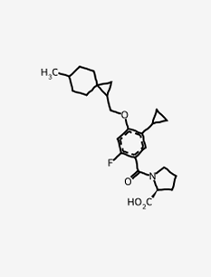 CC1CCC2(CC1)CC2COc1cc(F)c(C(=O)N2CCC[C@H]2C(=O)O)cc1C1CC1